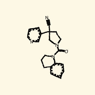 N#CC1(c2cccnc2)CCN(C(=O)N2CCCc3ccccc32)C1